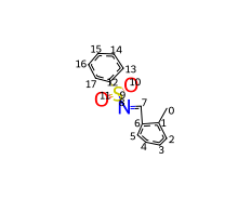 Cc1ccccc1/C=N/S(=O)(=O)c1ccccc1